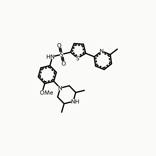 COc1ccc(NS(=O)(=O)c2ccc(-c3cccc(C)n3)s2)cc1N1CC(C)NC(C)C1